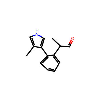 Cc1c[nH]cc1-c1ccccc1C(C)C=O